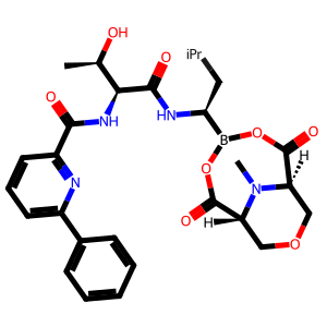 CC(C)C[C@H](NC(=O)[C@@H](NC(=O)c1cccc(-c2ccccc2)n1)[C@@H](C)O)B1OC(=O)[C@H]2COC[C@H](C(=O)O1)N2C